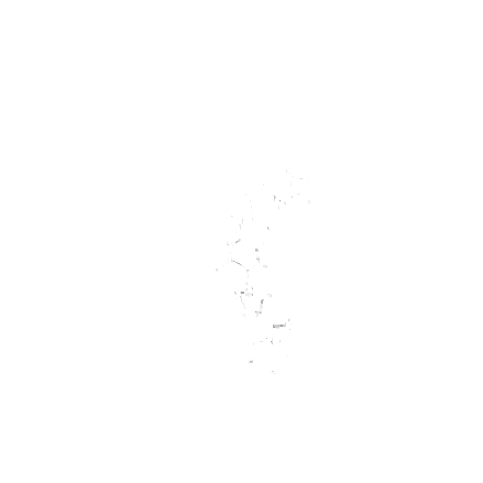 Cc1cc(OC2CCN(C3CCC3)CC2)ccc1-n1cc(C(=O)N2CCCC2)cn1